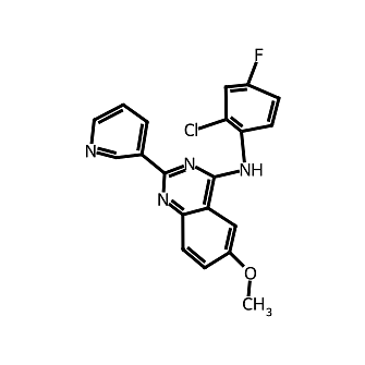 COc1ccc2nc(-c3cccnc3)nc(Nc3ccc(F)cc3Cl)c2c1